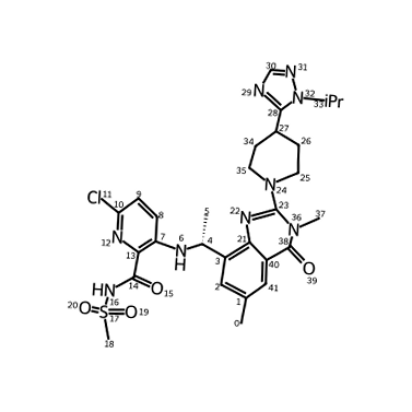 Cc1cc([C@@H](C)Nc2ccc(Cl)nc2C(=O)NS(C)(=O)=O)c2nc(N3CCC(c4ncnn4C(C)C)CC3)n(C)c(=O)c2c1